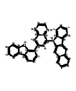 c1ccc2cc3c(cc2c1)c1ccccc1n3-c1nc(-c2cccc3c2oc2ccccc23)nc2nccnc12